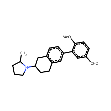 COc1ccc(C=O)cc1-c1ccc2c(c1)CCC(N1CCCC1C)C2